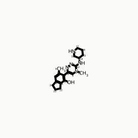 Cc1cc2c(c(O)c1C1=CN(C)C(N[C@@H]3CCCNC3)N=N1)CCC2